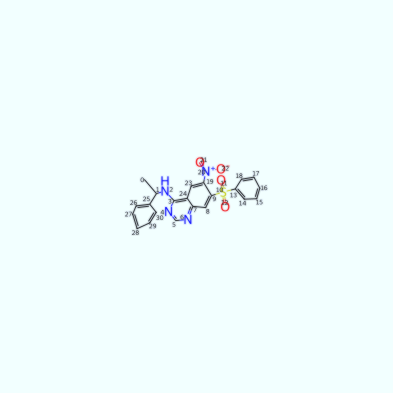 CC(Nc1ncnc2cc(S(=O)(=O)c3ccccc3)c([N+](=O)[O-])cc12)c1ccccc1